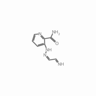 N=C/C=N\Nc1cccnc1C(N)=O